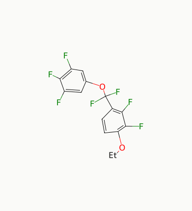 CCOc1ccc(C(F)(F)Oc2cc(F)c(F)c(F)c2)c(F)c1F